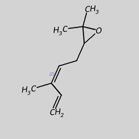 C=C/C(C)=C\CC1OC1(C)C